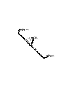 CCCCC/C=C\C/C=C\CCCCCCCCOCOCCCC(CCCOCOCCCCCCCC/C=C\C/C=C\CCCCC)OC(O)CCCN(C)C